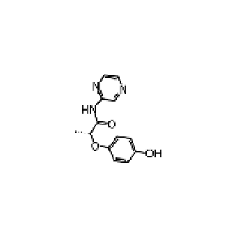 C[C@@H](Oc1ccc(O)cc1)C(=O)Nc1cnccn1